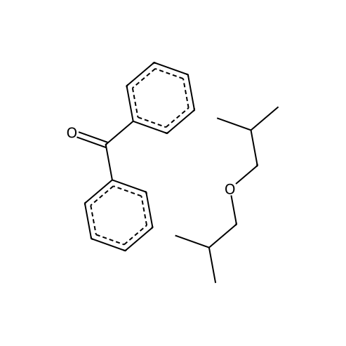 CC(C)COCC(C)C.O=C(c1ccccc1)c1ccccc1